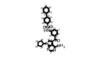 Nc1ncnc2c1c(C(=O)c1cccc(NS(=O)(=O)c3ccc(-c4ccccc4)cc3)c1)cn2C1CCCC1